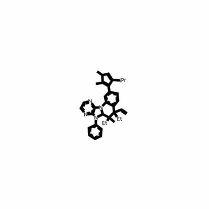 C=CC1(CC)c2ccc(C3=C(C)C(C)C=C3C(C)C)cc2N2c3nccnc3N(c3ccccc3)C2C1(C)CC